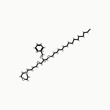 CCCCCCCCCCCCCCCCOCC(COCCCCN1CCOCC1)OCc1ccccc1